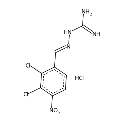 Cl.N=C(N)N/N=C/c1ccc([N+](=O)[O-])c(Cl)c1Cl